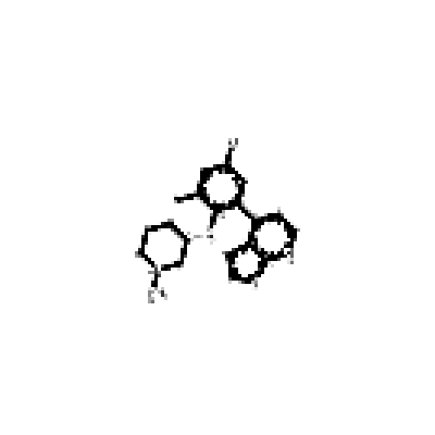 Cc1cc(Cl)cc(-c2ccnc3sccc23)c1O[C@H]1CCCN(N)C1